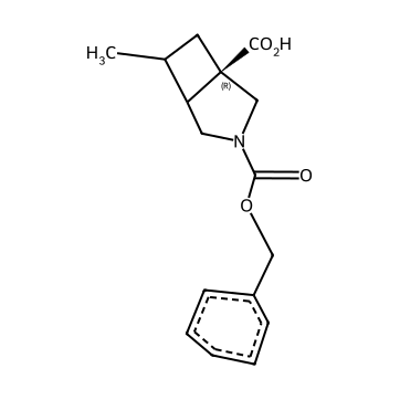 CC1C[C@]2(C(=O)O)CN(C(=O)OCc3ccccc3)CC12